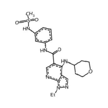 CCn1ncc2c(NC3CCOCC3)c(C(=O)Nc3cccc(NS(C)(=O)=O)c3)cnc21